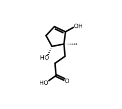 C[C@@]1(CCC(=O)O)C(O)=CC[C@H]1O